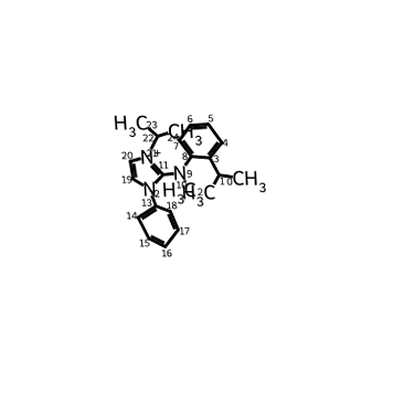 CC(C)c1ccccc1N(C)c1n(-c2ccccc2)cc[n+]1C(C)C